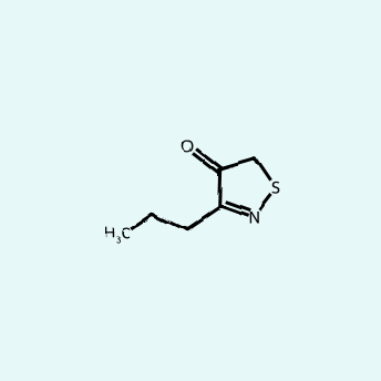 CCCC1=NSCC1=O